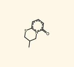 CC1CSc2cccc(=O)n2C1